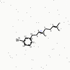 CC(C)=CCC/C(C)=C/CCc1cccc(Br)c1